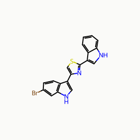 Brc1ccc2c(-c3csc(-c4c[nH]c5ccccc45)n3)c[nH]c2c1